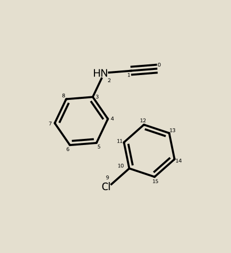 C#CNc1ccccc1.Clc1ccccc1